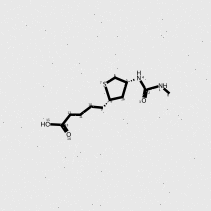 CNC(=O)N[C@H]1CS[C@@H](CCCCC(=O)O)C1